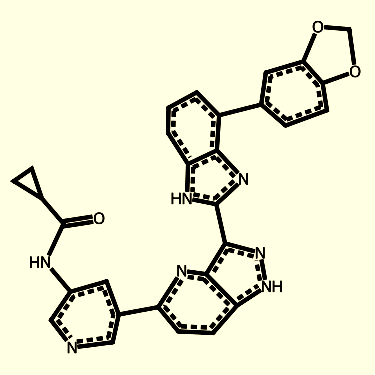 O=C(Nc1cncc(-c2ccc3[nH]nc(-c4nc5c(-c6ccc7c(c6)OCO7)cccc5[nH]4)c3n2)c1)C1CC1